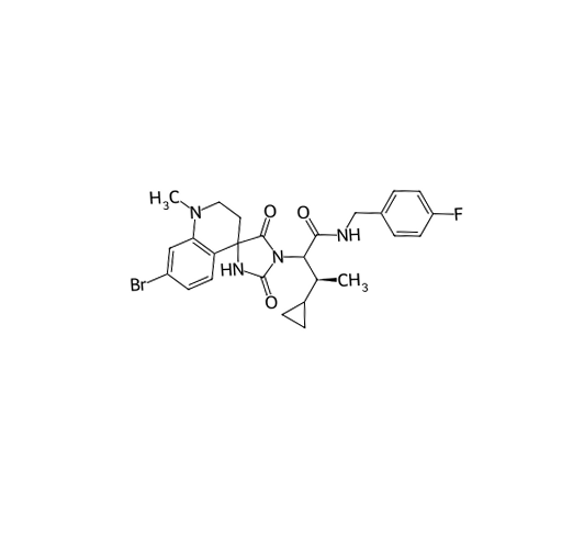 C[C@@H](C1CC1)C(C(=O)NCc1ccc(F)cc1)N1C(=O)NC2(CCN(C)c3cc(Br)ccc32)C1=O